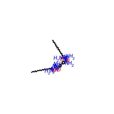 CCCCCCCCCCCCCCCCCCN(C(N)=O)c1nc(N)nc(N(C(N)=O)c2ccc(-c3ccc(N(C(N)=O)c4nc(N)nc(N(CCCCCCCCCCCCCCCCCC)C(N)=O)n4)c(C)c3)cc2C)n1